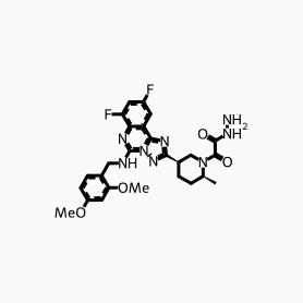 COc1ccc(CNc2nc3c(F)cc(F)cc3c3nc([C@@H]4CC[C@H](C)N(C(=O)C(=O)NN)C4)nn23)c(OC)c1